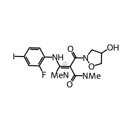 CNC(=O)/C(C(=O)N1CC(O)CO1)=C(\NC)Nc1ccc(I)cc1F